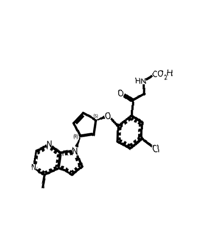 Cc1ncnc2c1ccn2[C@H]1C=C[C@@H](Oc2ccc(Cl)cc2C(=O)CNC(=O)O)C1